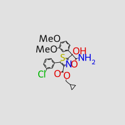 COc1ccc(C(O)(C(N)=O)c2nc(C(=O)OCC3CC3)c(-c3cccc(Cl)c3)s2)cc1OC